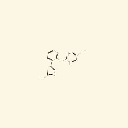 FC(F)(F)c1cnc(Oc2ccccc2-c2cnc(Br)s2)nc1